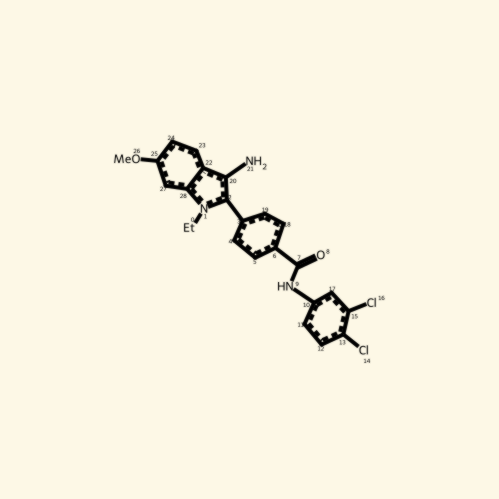 CCn1c(-c2ccc(C(=O)Nc3ccc(Cl)c(Cl)c3)cc2)c(N)c2ccc(OC)cc21